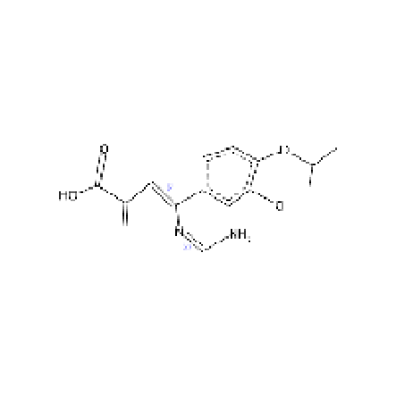 C=C(/C=C(\N=C/N)c1ccc(OC(C)C)c(Cl)c1)C(=O)O